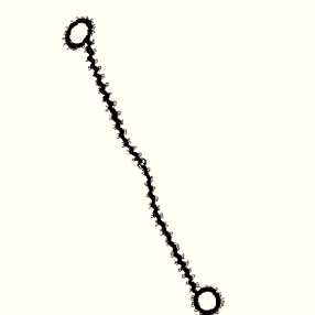 C(CCCCCCCCCCCCCCC1CCCCCCCCCCCC1)CCCCCCCCCCCCCOOCCCCCCCCCCCCCCCCCCCCCCCCCCCCC1CCCCCCCCCCCC1